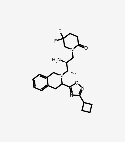 C[C@@H]([C@@H](N)CN1CC(F)(F)CCC1=O)N1Cc2ccccc2CC1c1nc(C2CCC2)no1